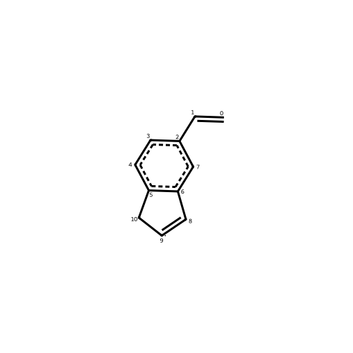 C=Cc1ccc2c(c1)C=[C]C2